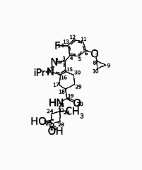 CC(C)n1nc(-c2cc(OC3CC3)ccc2F)c2c1CC(C(=O)NC1(C)CS(O)(O)C1)CC2